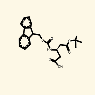 CC(C)(C)OC(=O)C[C@@H](CC(=O)O)NC(=O)OCC1c2ccccc2-c2ccccc21